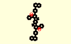 CC1(C)c2cc3c(cc2-c2c1cc(-c1ccc(-c4cccc5ccccc45)cc1)c1oc4ccccc4c21)C(C)(C)c1cc(-c2ccc(-c4cccc5ccccc45)cc2)c2oc4ccccc4c2c1-3